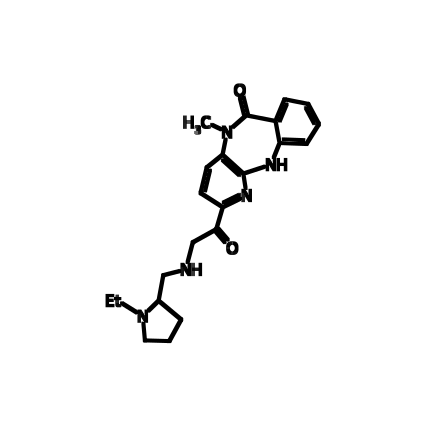 CCN1CCCC1CNCC(=O)c1ccc2c(n1)Nc1ccccc1C(=O)N2C